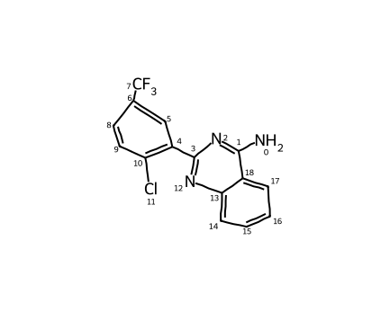 Nc1nc(-c2cc(C(F)(F)F)ccc2Cl)nc2ccccc12